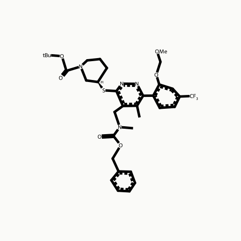 COCOc1cc(C(F)(F)F)ccc1-c1nnc(S[C@@H]2CCCN(C(=O)OC(C)(C)C)C2)c(CN(C)C(=O)OCc2ccccc2)c1C